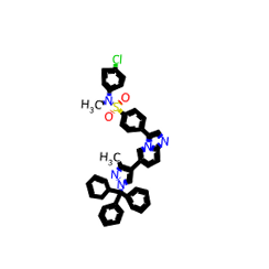 Cc1nn(C(c2ccccc2)(c2ccccc2)C2C=CC=CC2)cc1-c1ccc2ncc(-c3ccc(S(=O)(=O)N(C)c4ccc(Cl)cc4)cc3)n2c1